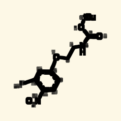 CC(C)(C)OC(=O)NCCOc1ccc([N+](=O)[O-])c(F)c1